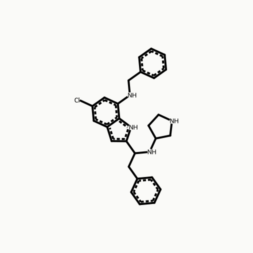 Clc1cc(NCc2ccccc2)c2[nH]c(C(Cc3ccccc3)NC3CCNC3)cc2c1